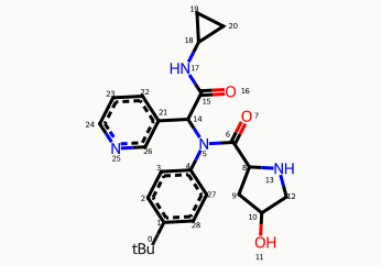 CC(C)(C)c1ccc(N(C(=O)C2CC(O)CN2)C(C(=O)NC2CC2)c2cccnc2)cc1